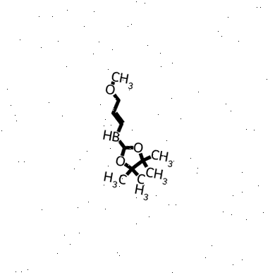 COCC=CBC1OC(C)(C)C(C)(C)O1